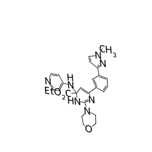 CCOC(=O)C1(Nc2ccncc2)C=C(c2cccc(-c3ccn(C)n3)c2)N=C(N2CCOCC2)N1